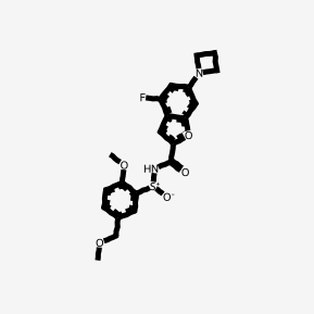 COCc1ccc(OC)c([S+]([O-])NC(=O)c2cc3c(F)cc(N4CCC4)cc3o2)c1